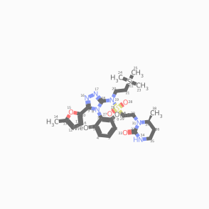 COc1cccc(OC)c1-n1c(-c2ccc(C)o2)nnc1N(CC[Si](C)(C)C)S(=O)(=O)CCN1C(=O)NCC[C@@H]1C